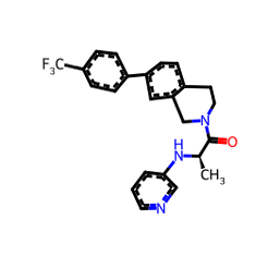 C[C@@H](Nc1cccnc1)C(=O)N1CCc2ccc(-c3ccc(C(F)(F)F)cc3)cc2C1